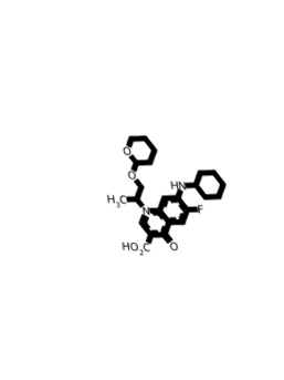 CC(COC1CCCCO1)n1cc(C(=O)O)c(=O)c2cc(F)c(NC3CCCCC3)cc21